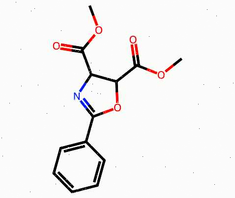 COC(=O)C1N=C(c2ccccc2)OC1C(=O)OC